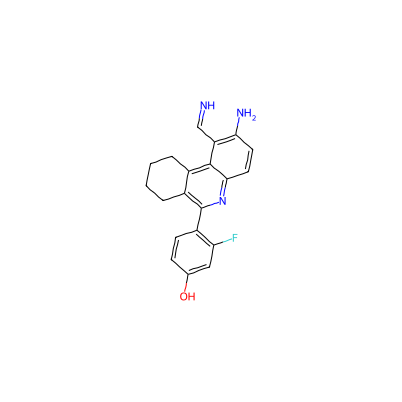 N=Cc1c(N)ccc2nc(-c3ccc(O)cc3F)c3c(c12)CCCC3